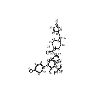 COc1ccc(-c2nc3c(C(=O)N4CCN([C@@H](C)c5ccn(C)n5)C[C@H]4C)cnn3c(C(F)(F)F)c2C)cc1